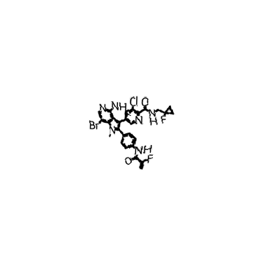 C=C(F)C(=O)Nc1ccc(-c2c(-c3cnc(C(=O)NCC4(F)CC4)c(Cl)c3)c3c(N)ncc(Br)c3n2C)cc1